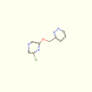 Clc1cncc(OCc2cccnn2)n1